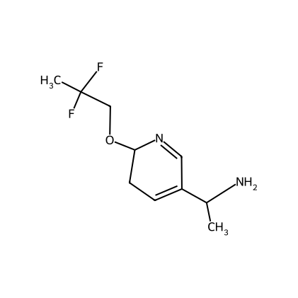 CC(N)C1=CCC(OCC(C)(F)F)N=C1